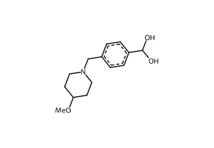 COC1CCN(Cc2ccc(C(O)O)cc2)CC1